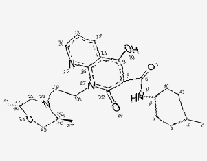 CC1CCC(NC(=O)c2c(O)c3cccnc3n(CCN3C[C@@H](C)OC[C@@H]3C)c2=O)CC1